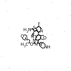 CC(CN1CCOCC1)Oc1nc(N2C3CCC2CNC3)c2c3c(c(-c4ncc(F)c5sc(N)c(C#N)c45)c(F)c2n1)COC3